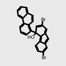 OC1(c2cccc3c2ccc2ccccc23)C=C(Br)C=C2C=c3cc(Br)ccc3=C21